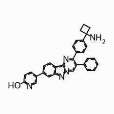 NC1(c2ccc(-c3nc4c5ccc(-c6ccc(O)nc6)cc5nn4cc3-c3ccccc3)cc2)CCC1